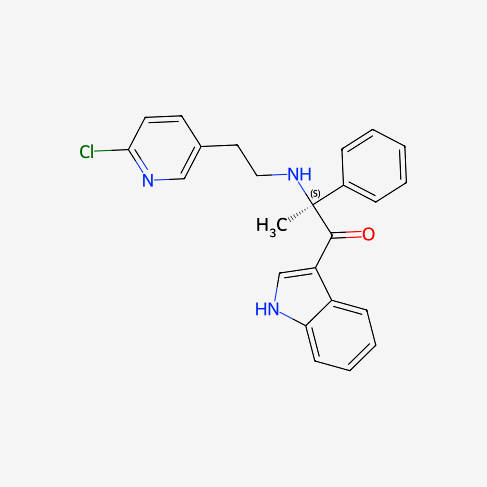 C[C@@](NCCc1ccc(Cl)nc1)(C(=O)c1c[nH]c2ccccc12)c1ccccc1